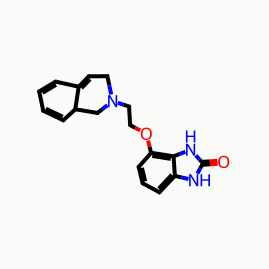 O=c1[nH]c2cccc(OCCN3CC=C4C=CC=CC4C3)c2[nH]1